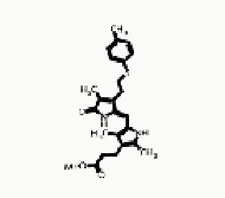 COC(=O)CCc1c(C)[nH]c(/C=C2\NC(=O)C(C)=C2CCSc2ccc(C)cc2)c1C